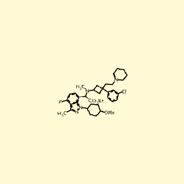 CCOC(=O)C(c1ccc(F)c2c(C)nn(C3CCC(OC)CC3)c12)N(C)C1CC(CCN2CCCCC2)(c2cccc(Cl)c2)C1